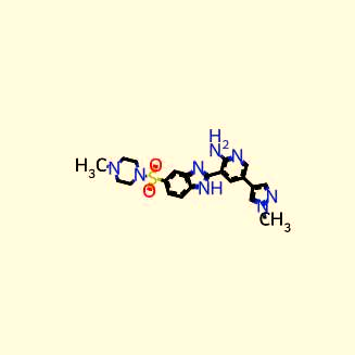 CN1CCN(S(=O)(=O)c2ccc3[nH]c(-c4cc(-c5cnn(C)c5)cnc4N)nc3c2)CC1